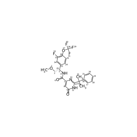 COC[C@@H](NC(=O)c1cc(=O)[nH]c(C(C)(C)c2ccccc2)n1)c1ccc(OC(F)(F)F)c(F)c1